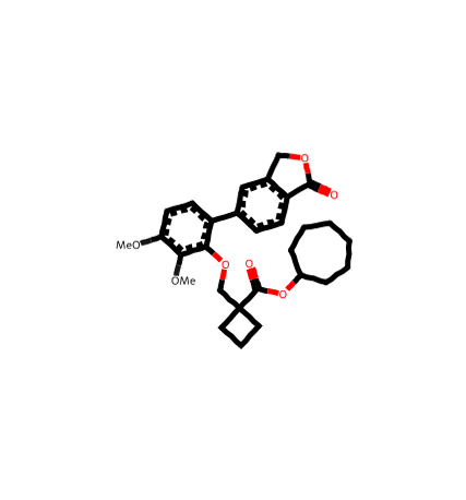 COc1ccc(-c2ccc3c(c2)COC3=O)c(OCC2(C(=O)OC3CCCCCC3)CCC2)c1OC